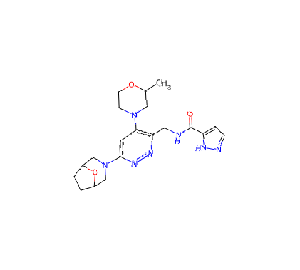 CC1CN(c2cc(N3CC4CCC(C3)O4)nnc2CNC(=O)c2ccn[nH]2)CCO1